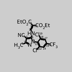 CCOC(=O)C(=CNc1c(C#N)c(C)nn1-c1c(Cl)cc(C(F)(F)F)cc1Cl)C(=O)OCC